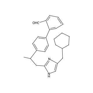 CC(Cc1nc(CC2CCCCC2)c[nH]1)c1ccc(-c2ccccc2C=O)cc1